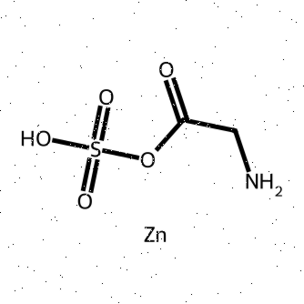 NCC(=O)OS(=O)(=O)O.[Zn]